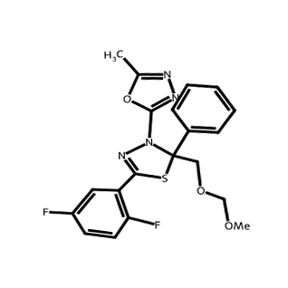 COCOCC1(c2ccccc2)SC(c2cc(F)ccc2F)=NN1c1nnc(C)o1